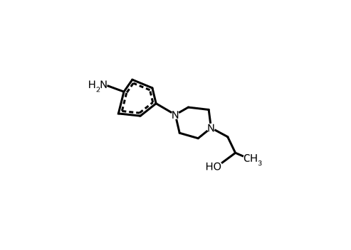 CC(O)CN1CCN(c2ccc(N)cc2)CC1